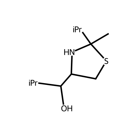 CC(C)C(O)C1CSC(C)(C(C)C)N1